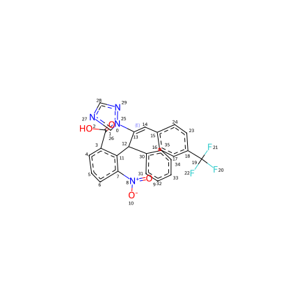 O=C(O)c1cccc([N+](=O)[O-])c1C(/C(=C\c1ccc(C(F)(F)F)cc1)n1cncn1)c1ccccc1